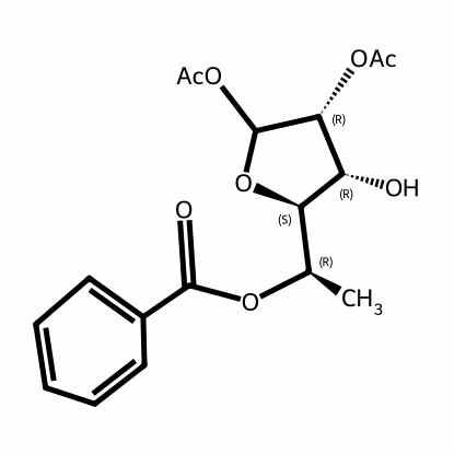 CC(=O)OC1O[C@H]([C@@H](C)OC(=O)c2ccccc2)[C@@H](O)[C@H]1OC(C)=O